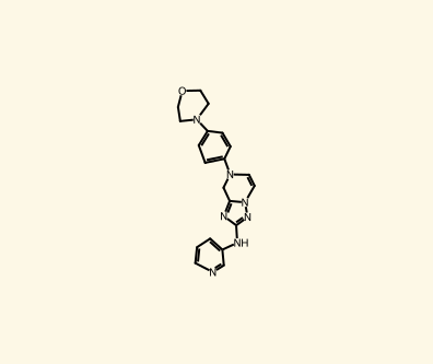 C1=Cn2nc(Nc3cccnc3)nc2CN1c1ccc(N2CCOCC2)cc1